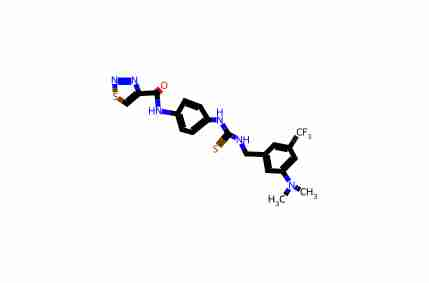 CN(C)c1cc(CNC(=S)Nc2ccc(NC(=O)c3csnn3)cc2)cc(C(F)(F)F)c1